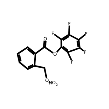 O=C(Oc1c(F)c(F)c(F)c(F)c1F)c1ccccc1CO[N+](=O)[O-]